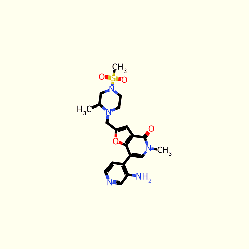 CC1CN(S(C)(=O)=O)CCN1Cc1cc2c(=O)n(C)cc(-c3ccncc3N)c2o1